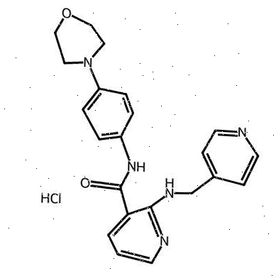 Cl.O=C(Nc1ccc(N2CCOCC2)cc1)c1cccnc1NCc1ccncc1